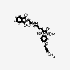 CC#CCOc1ccc([S+]([O-])C(CCCCNC(=O)CN2C(=O)c3ccccc3C2=O)C(=O)NO)cc1